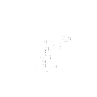 C[C@@]12C=C[C@@](C)(N1)[C@@H](F)[C@@H](Oc1ncc(-c3ccc(-n4ccnc4)cc3O)nn1)C2